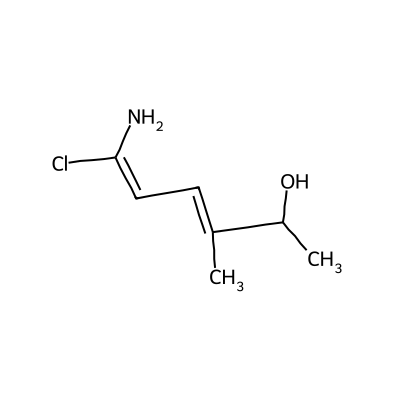 C/C(=C\C=C(/N)Cl)C(C)O